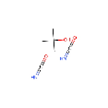 CC(C)(C)O.N=C=O.N=C=O